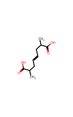 CC(CC=CCC(C)C(=O)O)C(=O)O